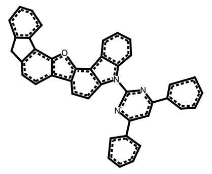 c1ccc(-c2cc(-c3ccccc3)nc(-n3c4ccccc4c4c5oc6c7c(ccc6c5ccc43)Cc3ccccc3-7)n2)cc1